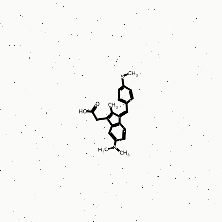 CSc1ccc(/C=C2\C(C)=C(CC(=O)O)c3cc(N(C)C)ccc32)cc1